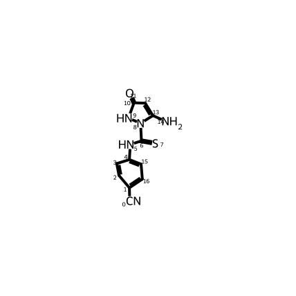 N#Cc1ccc(NC(=S)n2[nH]c(=O)cc2N)cc1